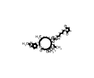 C=CC[C@H]1C(=O)C(C)(C)[C@@H](O)CC(=O)O[C@H](c2ccc3sc(C)nc3c2)C/C=C(/C)CCC[C@H](C)[C@@H]1OC(=O)NCCCCCN1C(=O)C=CC1=O